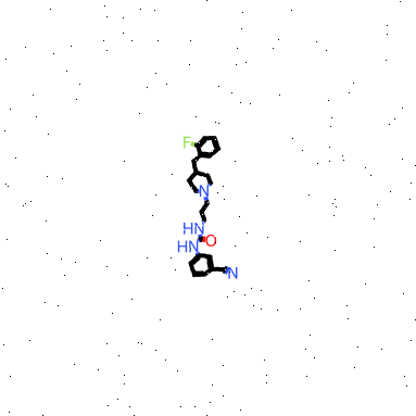 N#Cc1cccc(NC(=O)NCCCN2CCC(Cc3ccccc3F)CC2)c1